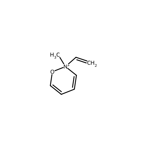 C=C[N+]1(C)C=CC=CO1